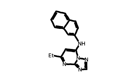 CCc1cc(Nc2ccc3ccccc3c2)n2ncnc2n1